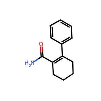 NC(=O)C1=C(c2ccccc2)CCCC1